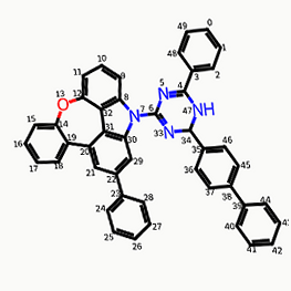 c1ccc(C2=NC(n3c4cccc5oc6ccccc6c6cc(-c7ccccc7)cc3c6c54)=NC(c3ccc(-c4ccccc4)cc3)N2)cc1